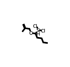 C=C(C)COC(CCCC)[SiH](Cl)Cl